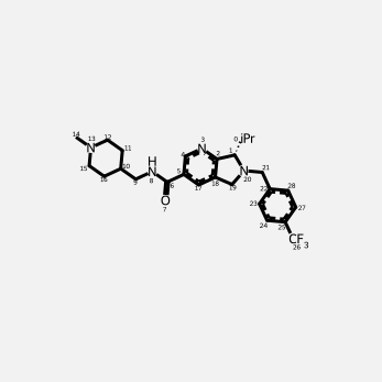 CC(C)[C@H]1c2ncc(C(=O)NCC3CCN(C)CC3)cc2CN1Cc1ccc(C(F)(F)F)cc1